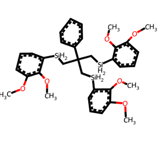 COc1cccc([SiH2]CC(C[SiH2]c2cccc(OC)c2OC)(C[SiH2]c2cccc(OC)c2OC)c2ccccc2)c1OC